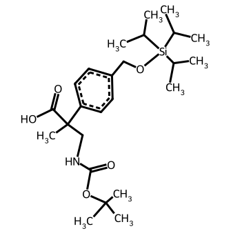 CC(C)[Si](OCc1ccc(C(C)(CNC(=O)OC(C)(C)C)C(=O)O)cc1)(C(C)C)C(C)C